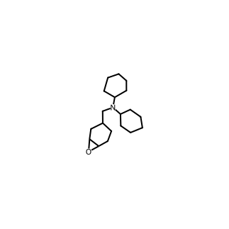 C1CCC(N(CC2CCC3OC3C2)C2CCCCC2)CC1